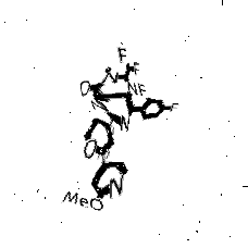 COc1cc([C@H]2C[C@@H](c3nc(-c4ccc(F)cc4F)c4nc(C(F)F)n(C)c(=O)c4n3)CCO2)ccn1